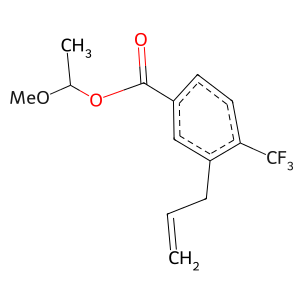 C=CCc1cc(C(=O)OC(C)OC)ccc1C(F)(F)F